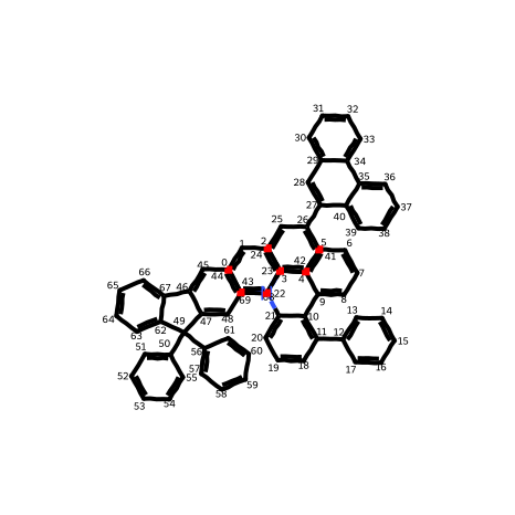 c1ccc(-c2ccccc2-c2c(-c3ccccc3)cccc2N(c2ccc(-c3cc4ccccc4c4ccccc34)cc2)c2ccc3c(c2)C(c2ccccc2)(c2ccccc2)c2ccccc2-3)cc1